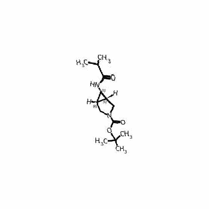 CC(C)C(=O)N[C@H]1[C@@H]2CN(C(=O)OC(C)(C)C)C[C@@H]21